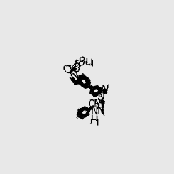 CC(Nc1nccc(-n2cnc3cc(-c4ccc5c(ccn5C(=O)OC(C)(C)C)c4)ccc32)n1)c1ccccc1